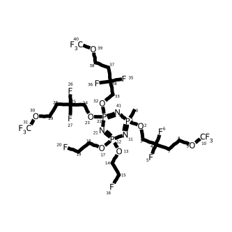 CP1(OCC(F)(F)CCOC(F)(F)F)=NP(OCCF)(OCCF)=NP(OCC(F)(F)CCOC(F)(F)F)(OCC(F)(F)CCOC(F)(F)F)=N1